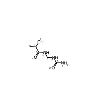 CC(O)C(=O)NCNC(N)=O